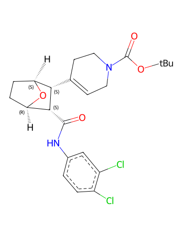 CC(C)(C)OC(=O)N1CC=C([C@@H]2[C@H](C(=O)Nc3ccc(Cl)c(Cl)c3)[C@H]3CC[C@@H]2O3)CC1